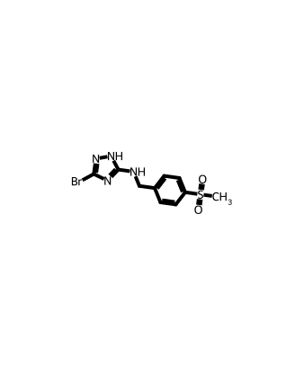 CS(=O)(=O)c1ccc(CNc2nc(Br)n[nH]2)cc1